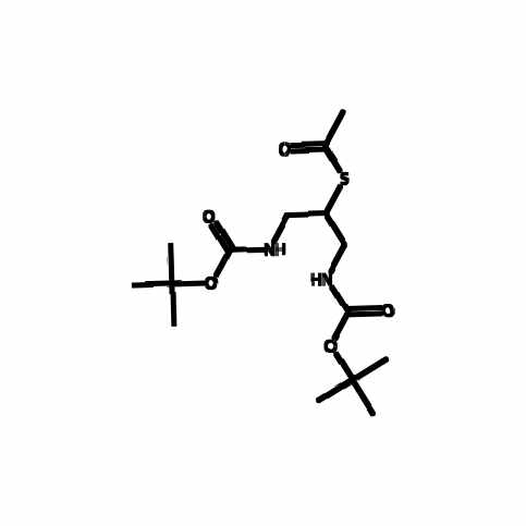 CC(=O)SC(CNC(=O)OC(C)(C)C)CNC(=O)OC(C)(C)C